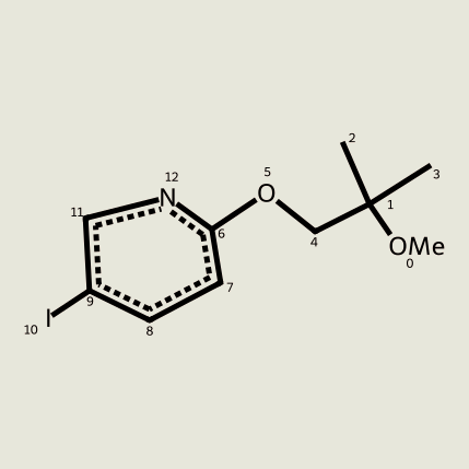 COC(C)(C)COc1ccc(I)cn1